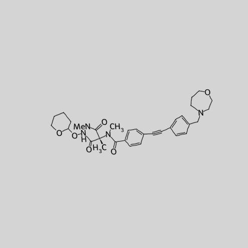 CNC(=O)[C@@](C)(C(=O)NOC1CCCCO1)N(C)C(=O)c1ccc(C#Cc2ccc(CN3CCCOCC3)cc2)cc1